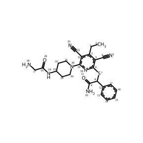 CCc1c(C#N)c(SC(C(N)=O)c2ccccc2)nc(N2CCC(NC(=O)CN)CC2)c1C#N